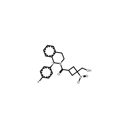 O=C(C1CC(CO)([N+](=O)[O-])C1)N1CCc2ccccc2[C@@H]1c1ccc(F)cc1